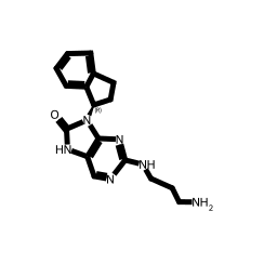 NCCCNc1ncc2[nH]c(=O)n([C@@H]3CCc4ccccc43)c2n1